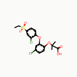 CCS(=O)(=O)c1ccc(Oc2cc(Cl)ccc2OC(C)(C)C(=O)O)c(Cl)c1